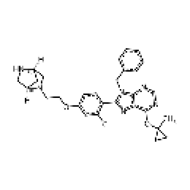 CC1(Oc2ncnc3c2nc(-c2ccc(OCCN4C[C@H]5C[C@@H]4CN5)cc2Cl)n3Cc2ccccc2)CC1